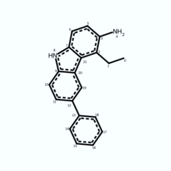 CCc1c(N)ccc2[nH]c3ccc(-c4ccccc4)cc3c12